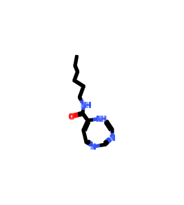 CCCCCCNC(=O)c1ccncncc[nH]1